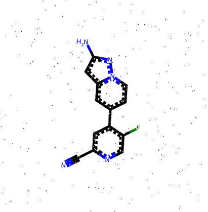 N#Cc1cc(-c2ccn3nc(N)cc3c2)c(F)cn1